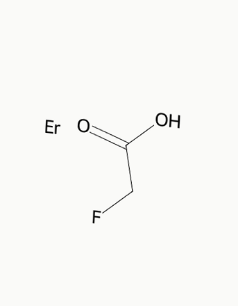 O=C(O)CF.[Er]